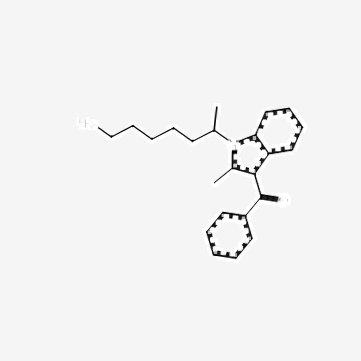 Cc1c(C(=O)c2ccccc2)c2ccccc2n1C(C)CCCCCO